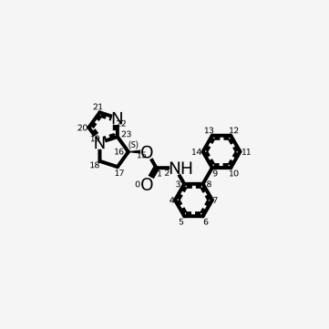 O=C(Nc1ccccc1-c1ccccc1)O[C@H]1CCn2ccnc21